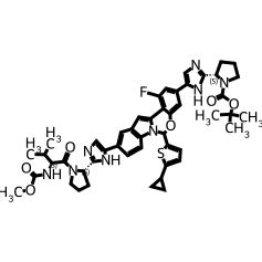 COC(=O)N[C@H](C(=O)N1CCC[C@H]1c1ncc(-c2ccc3c(c2)cc2n3C(c3ccc(C4CC4)s3)Oc3cc(-c4cnc([C@@H]5CCCN5C(=O)OC(C)(C)C)[nH]4)cc(F)c3-2)[nH]1)C(C)C